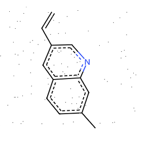 C=Cc1cnc2cc(C)ccc2c1